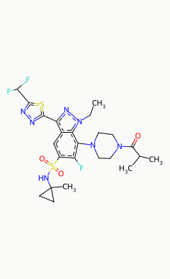 CCn1nc(-c2nnc(C(F)F)s2)c2cc(S(=O)(=O)NC3(C)CC3)c(F)c(N3CCN(C(=O)C(C)C)CC3)c21